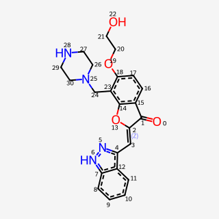 O=C1/C(=C/c2n[nH]c3ccccc23)Oc2c1ccc(OCCO)c2CN1CCNCC1